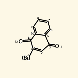 CC(C)(C)C1=CC(=O)c2ccccc2C1=O